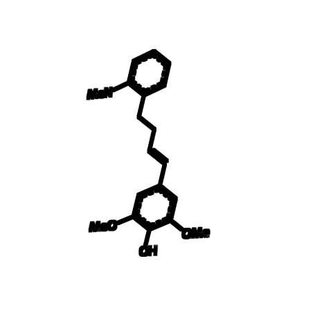 CNc1ccccc1CCC=Cc1cc(OC)c(O)c(OC)c1